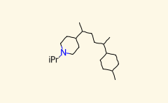 CC1CCC(C(C)CCC(C)C2CCN(C(C)C)CC2)CC1